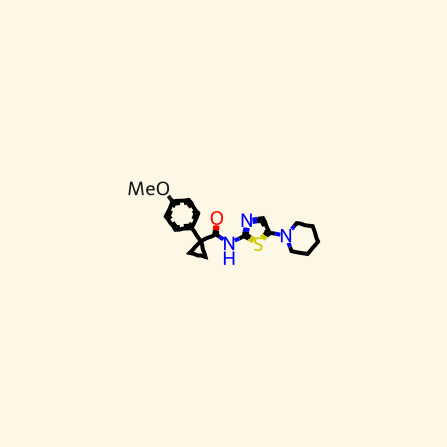 COc1ccc(C2(C(=O)Nc3ncc(N4CCCCC4)s3)CC2)cc1